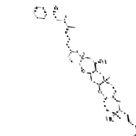 C=C/C=C\C=C\C1OC2CCC3(C)OC4C(O)CC5(C)OC(CC/C=C(\C)C(C)CC(=O)c6ccccc6)C(C)CC5OC4CC3OC2CCC1(C)O